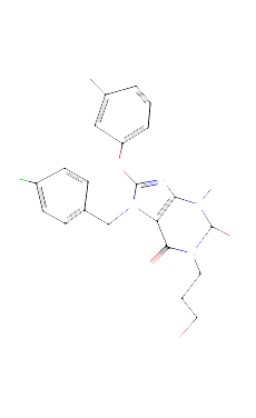 Cc1cccc(Oc2nc3c(n2Cc2ccc(Cl)cc2)C(=O)N(CCCO)C(O)N3C)c1